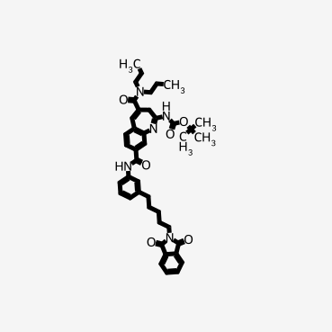 CCCN(CCC)C(=O)C1=Cc2ccc(C(=O)Nc3cccc(CCCCCN4C(=O)c5ccccc5C4=O)c3)cc2N=C(NC(=O)OC(C)(C)C)C1